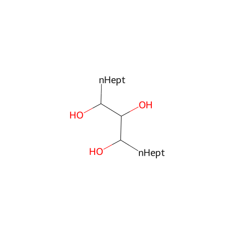 CCCCCCCC(O)C(O)C(O)CCCCCCC